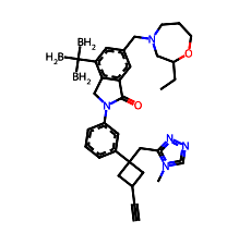 BC(B)(B)c1cc(CN2CCCOC(CC)C2)cc2c1CN(c1cccc(C3(Cc4nncn4C)CC(C#C)C3)c1)C2=O